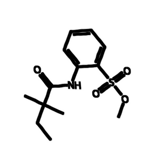 CCC(C)(C)C(=O)Nc1ccccc1S(=O)(=O)OC